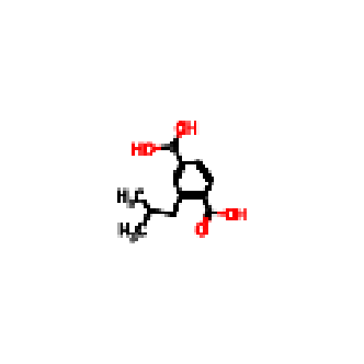 CC(C)Cc1cc(B(O)O)ccc1C(=O)O